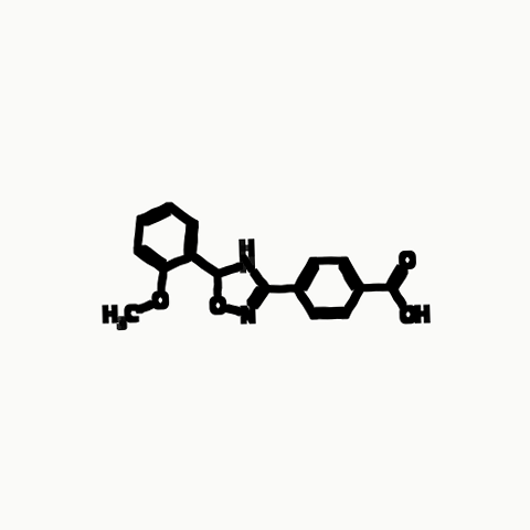 COc1ccccc1C1NC(c2ccc(C(=O)O)cc2)=NO1